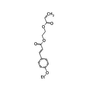 C=CC(=O)OCCOC(=O)/C=C/c1ccc(OCC)cc1